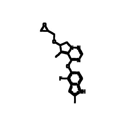 CC1=C2C(Oc3ccc4[nH]c(C)cc4c3F)=NC=NN2CC1OCC1CO1